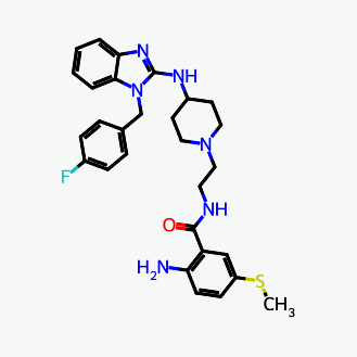 CSc1ccc(N)c(C(=O)NCCN2CCC(Nc3nc4ccccc4n3Cc3ccc(F)cc3)CC2)c1